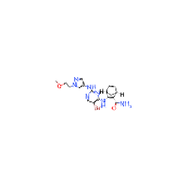 COCCn1cc(Nc2ncc(Br)c(N[C@H]3[C@@H](C(N)=O)[C@@H]4C=C[C@H]3C4)n2)cn1